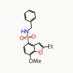 CCc1cc2c(S(=O)(=O)NCc3ccccc3)ccc(OC)c2o1